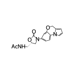 CC(=O)NC[C@H]1CN(c2ccc3c(c2)OCc2cccn2-3)C(=O)O1